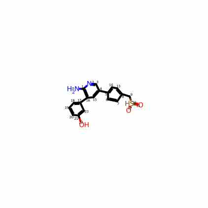 Nc1ncc(-c2ccc(C[SH](=O)=O)cc2)cc1-c1cccc(O)c1